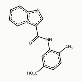 Cc1ccc(C(=O)O)cc1NC(=O)c1cnc2ccccn12